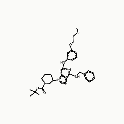 COCCOc1cccc(Nc2nc(NCc3ccccc3)c3ncn(C4CCCN(C(=O)OC(C)(C)C)C4)c3n2)c1